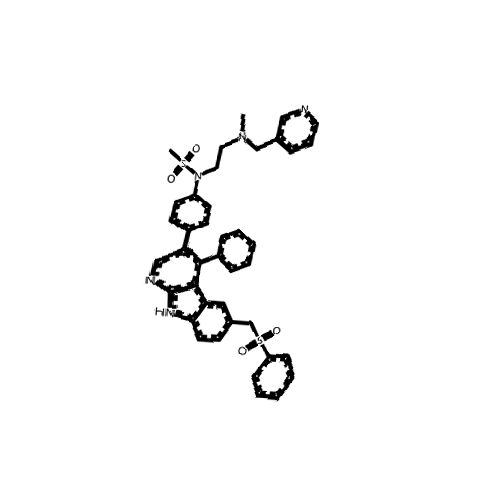 CN(CCN(c1ccc(-c2cnc3[nH]c4ccc(CS(=O)(=O)c5ccccc5)cc4c3c2-c2ccccc2)cc1)S(C)(=O)=O)Cc1cccnc1